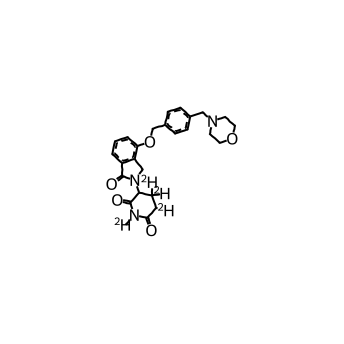 [2H]C1C(=O)N([2H])C(=O)C(N2Cc3c(OCc4ccc(CN5CCOCC5)cc4)cccc3C2=O)C1([2H])[2H]